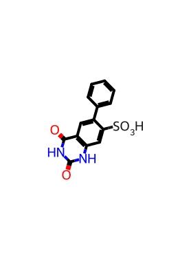 O=c1[nH]c(=O)c2cc(-c3ccccc3)c(S(=O)(=O)O)cc2[nH]1